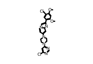 COc1cc(OC)c(-c2cn3ccc(N4CCN(c5cc(Cl)ncn5)CC4)cc3n2)cc1Cl